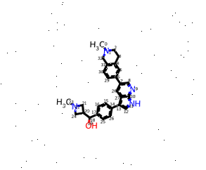 CN1CCc2cc(-c3cnc4[nH]cc(-c5ccc(C(O)C6CN(C)C6)cc5)c4c3)ccc2C1